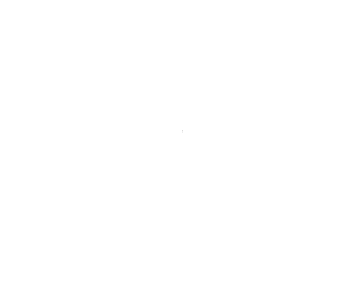 COc1cccc(/C=C/C(=O)Oc2c(Cl)cc(/C=N/O)cc2OC)c1